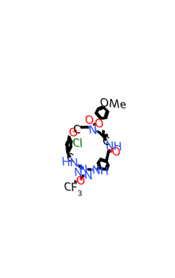 COc1ccc(OC(=O)N2CCCOc3ccc(cc3Cl)CNc3nc(nc(OCC(F)(F)F)n3)Nc3ccc(cc3)C(=O)NCC(C)(C)C2)cc1